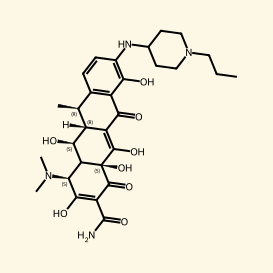 CCCN1CCC(Nc2ccc3c(c2O)C(=O)C2=C(O)[C@]4(O)C(=O)C(C(N)=O)=C(O)[C@@H](N(C)C)C4[C@@H](O)[C@@H]2[C@H]3C)CC1